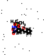 CC(C)S(=O)(=O)Nc1cc(C(=O)Cc2ccccc2)ccc1[N+](=O)[O-]